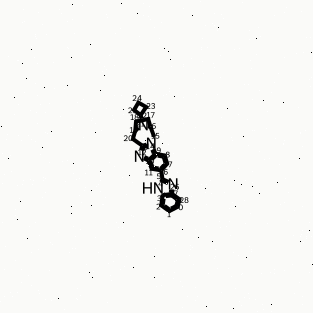 c1ccc2[nH]c(-c3ccc4c(c3)nc3n4CC4CCC(C3)N4C3CCC3)nc2c1